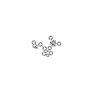 c1ccc(-c2nc(-c3ccccc3)nc(-c3ccc(C4(c5ccc(-c6cccc(-c7nccc8ccccc78)c6)cc5)c5ccccc5Oc5ccccc54)cc3)n2)cc1